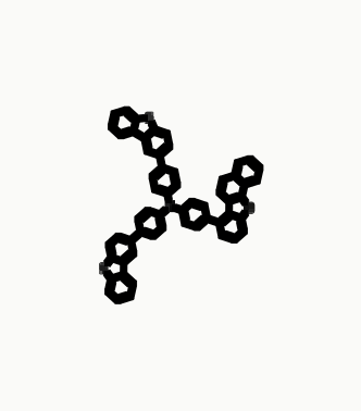 c1ccc2c(c1)ccc1c2oc2cccc(-c3ccc(N(c4ccc(-c5ccc6sc7ccccc7c6c5)cc4)c4ccc(-c5ccc6sc7ccccc7c6c5)cc4)cc3)c21